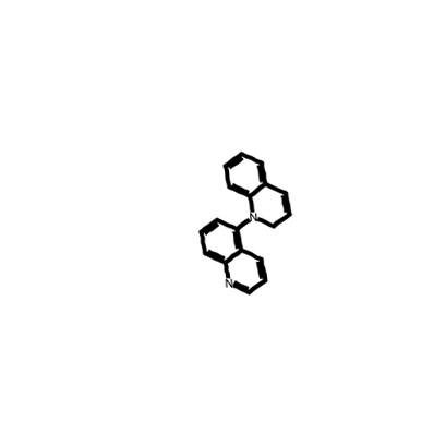 C1=Cc2ccccc2N(c2cccc3ncccc23)C1